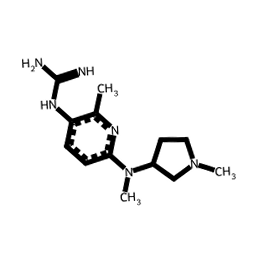 Cc1nc(N(C)C2CCN(C)C2)ccc1NC(=N)N